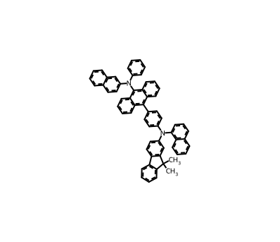 CC1(C)c2ccccc2-c2ccc(N(c3ccc(-c4c5ccccc5c(N(c5ccccc5)c5ccc6ccccc6c5)c5ccccc45)cc3)c3cccc4ccccc34)cc21